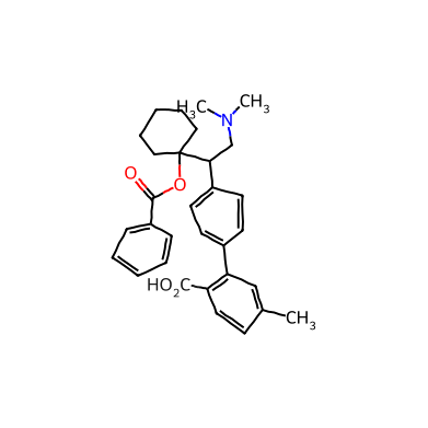 Cc1ccc(C(=O)O)c(-c2ccc(C(CN(C)C)C3(OC(=O)c4ccccc4)CCCCC3)cc2)c1